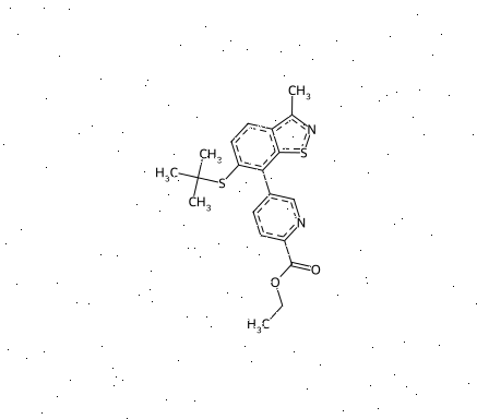 CCOC(=O)c1ccc(-c2c(SC(C)(C)C)ccc3c(C)nsc23)cn1